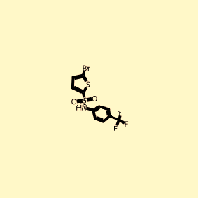 O=S(=O)(Nc1ccc(C(F)(F)F)cc1)c1ccc(Br)s1